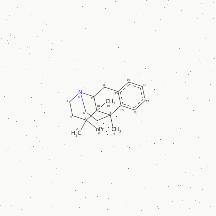 CCCC1(C)CCN2CCC3(C)c4ccccc4CC2C13C